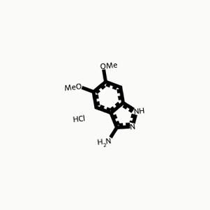 COc1cc2[nH]nc(N)c2cc1OC.Cl